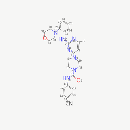 Cc1cc(N2CCN(C(=O)Nc3ccc(C#N)cc3)CC2)nc(Nc2ccccc2N2CCOCC2)n1